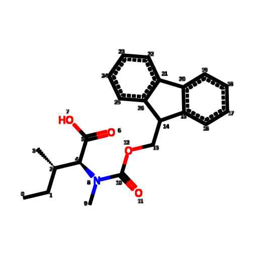 CC[C@H](C)[C@@H](C(=O)O)N(C)C(=O)OCC1c2ccccc2-c2ccccc21